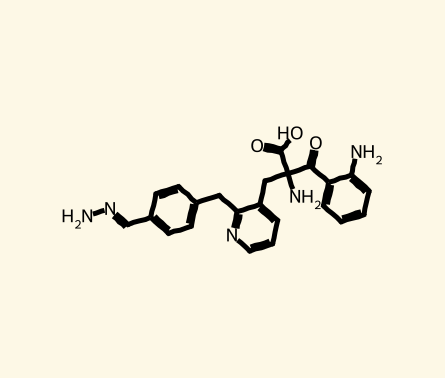 NN=Cc1ccc(Cc2ncccc2CC(N)(C(=O)O)C(=O)c2ccccc2N)cc1